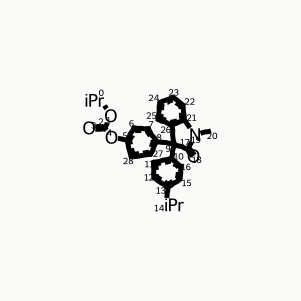 CC(C)OC(=O)Oc1ccc(C2(c3ccc(C(C)C)cc3)C(=O)N(C)c3ccccc32)cc1